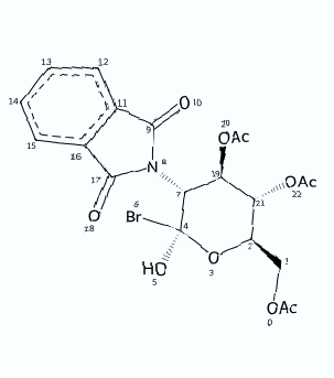 CC(=O)OC[C@H]1O[C@@](O)(Br)[C@H](N2C(=O)c3ccccc3C2=O)[C@@H](OC(C)=O)[C@@H]1OC(C)=O